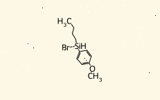 CCCC[SiH](Br)c1ccc(OC)cc1